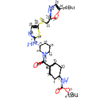 CC(C)(C)OC(=O)NC1CCC(C(=O)N2CCC[C@@H](Nc3ncc(SCc4ncc(C(C)(C)C)o4)s3)C2)CC1